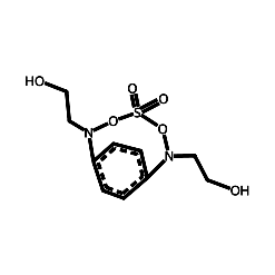 O=S1(=O)ON(CCO)c2ccc(cc2)N(CCO)O1